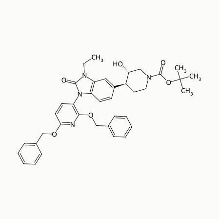 CCn1c(=O)n(-c2ccc(OCc3ccccc3)nc2OCc2ccccc2)c2ccc([C@@H]3CCN(C(=O)OC(C)(C)C)C[C@H]3O)cc21